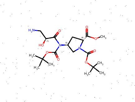 COC(=O)[C@H]1C[C@H](N(C(=O)OC(C)(C)C)C(=O)[C@@H](O)CN)CN1C(=O)OC(C)(C)C